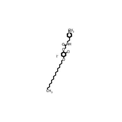 CCCCCCCCCCCCCCCCOc1ccc(OCC(=O)NCCc2cc[n+](C)cc2)c(Cl)c1.[I-]